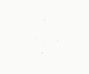 O=[N+]([O-])c1cc(Br)cnc1-c1ccccc1O